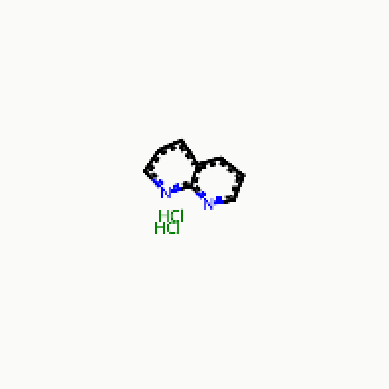 Cl.Cl.c1cnc2ncccc2c1